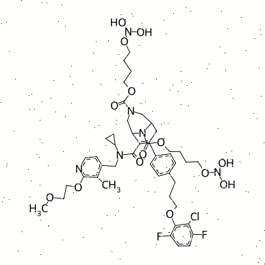 COCCOc1nccc(CN(C(=O)C2=C(c3ccc(CCCOc4c(F)ccc(F)c4Cl)cc3)CC3CN(C(=O)OCCCCON(O)O)CC2N3C(=O)OCCCCON(O)O)C2CC2)c1C